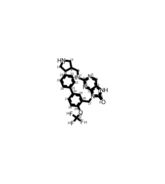 O=c1[nH]c2cnc(NCC3CCNC3)nc2n1Cc1cc(-c2ccccc2)ccc1OC(F)(F)F